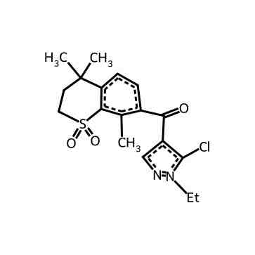 CCn1ncc(C(=O)c2ccc3c(c2C)S(=O)(=O)CCC3(C)C)c1Cl